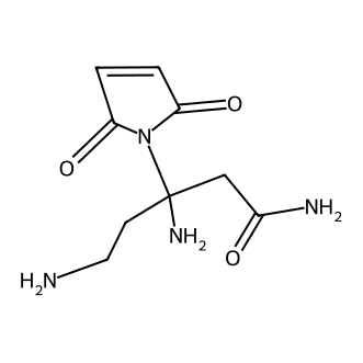 NCCC(N)(CC(N)=O)N1C(=O)C=CC1=O